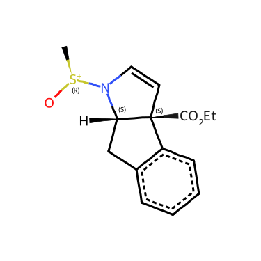 CCOC(=O)[C@]12C=CN([S@+](C)[O-])[C@H]1Cc1ccccc12